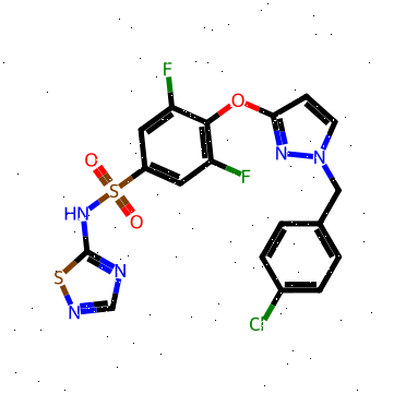 O=S(=O)(Nc1ncns1)c1cc(F)c(Oc2ccn(Cc3ccc(Cl)cc3)n2)c(F)c1